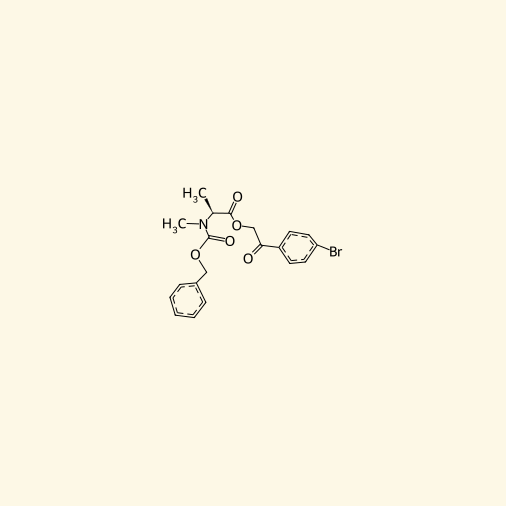 C[C@@H](C(=O)OCC(=O)c1ccc(Br)cc1)N(C)C(=O)OCc1ccccc1